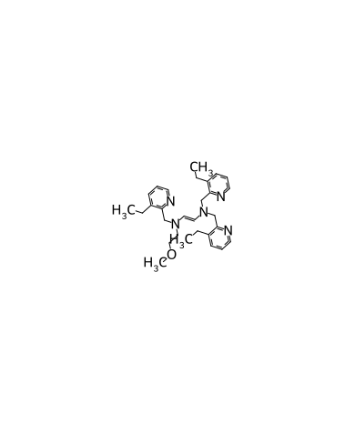 CCc1cccnc1CN(C=CN(Cc1ncccc1CC)Cc1ncccc1CC)CCOC